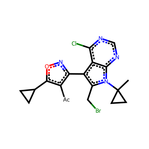 CC(=O)c1c(-c2c(CBr)n(C3(C)CC3)c3ncnc(Cl)c23)noc1C1CC1